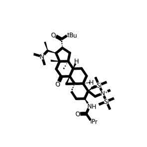 CC(C)C(=O)N[C@H]1CC[C@]23C[C@]24C(=O)C[C@]2(C)[C@@H]([C@H](C)N(C)C)[C@H](C(=O)C(C)(C)C)C[C@@]2(C)[C@@H]4CC[C@H]3[C@]1(C)C[N+](C)([Si](C)(C)C)[Si](C)(C)C